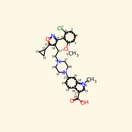 COc1cccc(Cl)c1-c1noc(C2CC2)c1CCN1CCN(c2ccc3c(C(=O)O)cn(C)c3c2)CC1